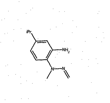 C=NN(C)c1ccc(C(C)C)cc1N